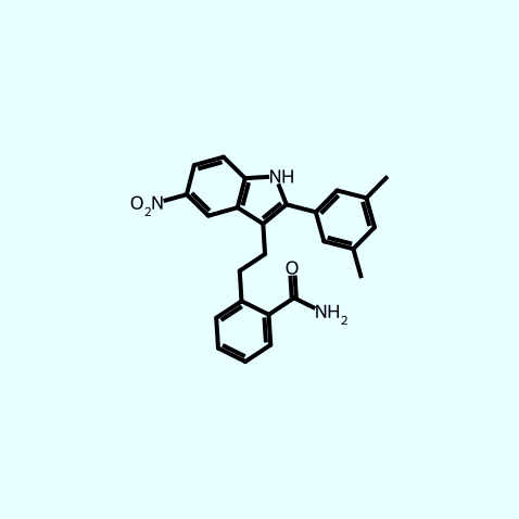 Cc1cc(C)cc(-c2[nH]c3ccc([N+](=O)[O-])cc3c2CCc2ccccc2C(N)=O)c1